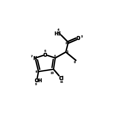 CC(C(=O)S)c1onc(O)c1Cl